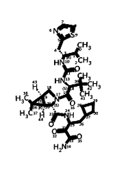 CC(C)[C@@H](Cc1nccs1)NC(=O)N[C@H](C(=O)N1C[C@H]2[C@@H]([C@H]1C(=O)NC(CC1CCC1)C(=O)C(N)=O)C2(C)C)C(C)(C)C